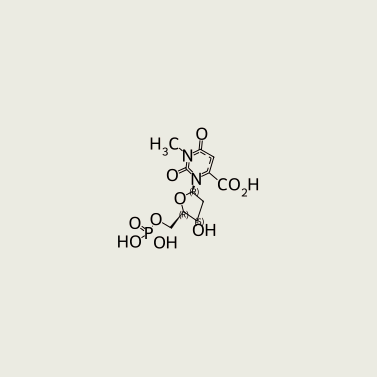 Cn1c(=O)cc(C(=O)O)n([C@H]2C[C@H](O)[C@@H](COP(=O)(O)O)O2)c1=O